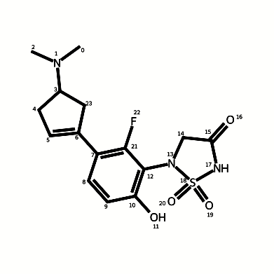 CN(C)C1CC=C(c2ccc(O)c(N3CC(=O)NS3(=O)=O)c2F)C1